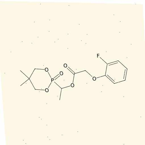 CC(OC(=O)COc1ccccc1F)P1(=O)OCC(C)(C)CO1